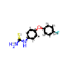 NC(=S)Nc1ccc(Oc2ccc(F)cc2)cc1